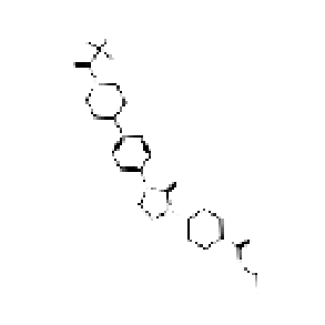 CCOC(=O)[C@H]1CC[C@H](N2CCN(c3ccc(C4CCN(C(=O)C(F)(F)F)CC4)cc3)C2=O)CC1